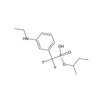 CCNc1cccc(C(F)(F)P(=O)(O)OC(C)CC)c1